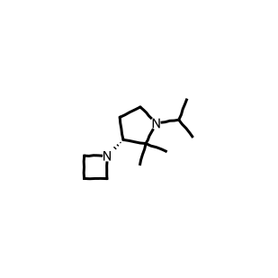 CC(C)N1CC[C@@H](N2CCC2)C1(C)C